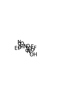 CCOc1ccnc2ccc(CNC(=O)c3cccn(C(CO)c4ccc(F)c(F)c4)c3=O)cc12